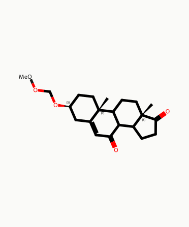 COOCO[C@H]1CC[C@@]2(C)C(=CC(=O)C3C2CC[C@]2(C)C(=O)CCC32)C1